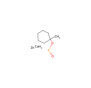 CC1(OP=O)CCCCC1.[CaH2].[Zn]